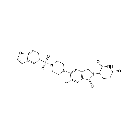 O=C1CCC(N2Cc3cc(N4CCN(S(=O)(=O)c5ccc6occc6c5)CC4)c(F)cc3C2=O)C(=O)N1